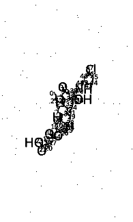 CC(C)C1=C2[C@H]3CC[C@@H]4[C@@]5(C)CC[C@H](OC(=O)CC(C)(C)C(=O)O)C(C)(C)[C@@H]5CC[C@@]4(C)[C@]3(C)CC[C@@]2(C(O)CNCc2cccc(Cl)c2)CC1=O